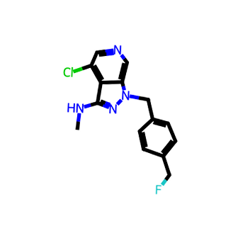 CNc1nn(Cc2ccc(CF)cc2)c2cncc(Cl)c12